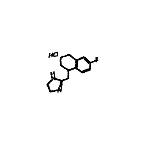 Cl.Fc1ccc2c(c1)CCCC2CC1=NCCN1